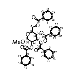 CO[C@@H]1OC(COC(=O)c2ccccc2)[C@H](OC(=O)c2ccccc2)[C@H](OC(=O)c2ccccc2)C1OC(=O)c1ccccc1